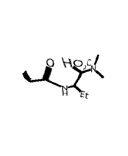 C=CC(=O)NC(CC)C(C(=O)O)N(C)C